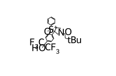 CC(C)(C)CC(=O)N1CCC(c2ccc(C(O)(C(F)(F)F)C(F)(F)F)cc2)([S+]([O-])c2ccccc2)C1